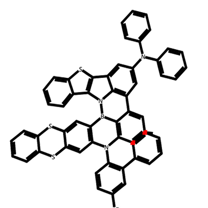 Cc1cc2c3c(c1)N(c1ccc(C(C)(C)C)cc1-c1ccccc1)c1cc4c(cc1B3n1c3c-2cc(N(c2ccccc2)c2ccccc2)cc3c2sc3ccccc3c21)Sc1ccccc1S4